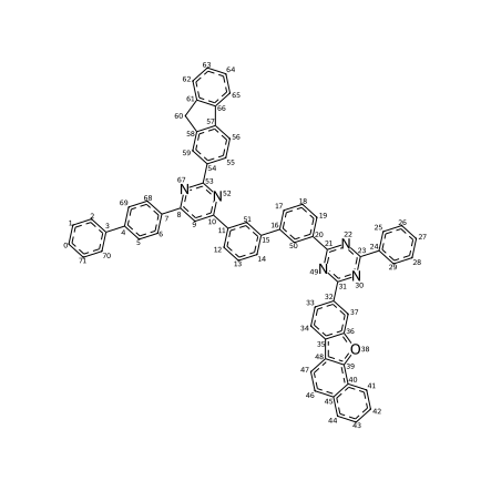 c1ccc(-c2ccc(-c3cc(-c4cccc(-c5cccc(-c6nc(-c7ccccc7)nc(-c7ccc8c(c7)oc7c9ccccc9ccc87)n6)c5)c4)nc(-c4ccc5c(c4)Cc4ccccc4-5)n3)cc2)cc1